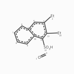 C=O.CCc1cc2ccccc2c(S(=O)(=O)O)c1CC